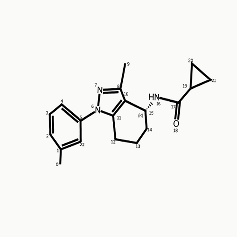 Cc1cccc(-n2nc(C)c3c2CCC[C@H]3NC(=O)C2CC2)c1